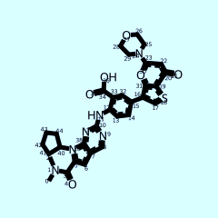 CN(C)C(=O)c1cc2cnc(Nc3ccc(-c4csc5c(=O)cc(N6CCOCC6)oc45)cc3C(=O)O)nc2n1C1CCCC1